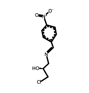 O=[N+]([O-])c1ccc(/C=N/C[C@H](O)CCl)cc1